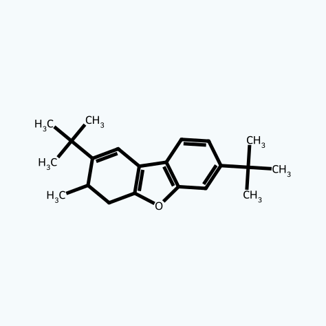 CC1Cc2oc3cc(C(C)(C)C)ccc3c2C=C1C(C)(C)C